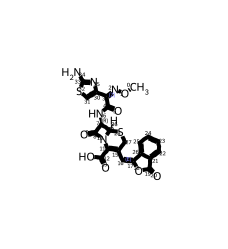 CO/N=C(\C(=O)N[C@@H]1C(=O)N2C(C(=O)O)=C(/C=C3/OC(=O)c4ccccc43)CS[C@H]12)c1csc(N)n1